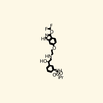 CC(C)S(=O)(=O)Nc1cccc([C@@H](O)CNCCOc2ccc3c(OC(F)F)n[nH]c3c2)c1